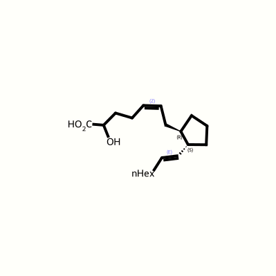 CCCCCC/C=C/[C@H]1CCC[C@@H]1C/C=C\CCC(O)C(=O)O